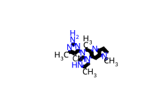 Cc1nc(N)nc(N[C@@H](C)c2nc3ccn(C)c3cc2N2CCNC(C)C2)c1C#N